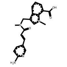 CN(Cc1cn(C)c2c(C(=O)O)cccc12)C(=O)C=Cc1ccc(N)nc1